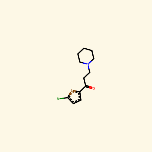 O=C(CCN1CCCCC1)c1ccc(Br)s1